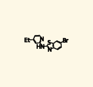 CCc1ccnc(Nc2nc3ccc(Br)cc3s2)c1